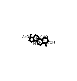 CC(=O)O[C@]1(C)CC[C@H]2[C@@H]3CCC4=C(C)[C@@H](O)CC[C@]4(C=O)[C@H]3CC[C@@]21C